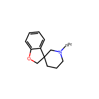 CCCN1CCCC2(COc3ccccc32)C1